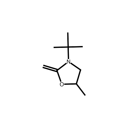 C=C1OC(C)CN1C(C)(C)C